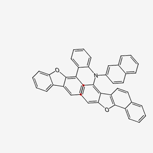 c1ccc(N(c2ccc3ccccc3c2)c2cccc3oc4c5ccccc5ccc4c23)c(-c2cccc3c2oc2ccccc23)c1